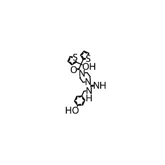 N=C(NCc1ccc(O)cc1)N1CCN(C(=O)C(O)(c2cccs2)c2cccs2)CC1